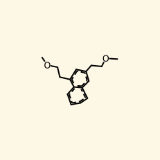 COCCc1cc(CCOC)c2ccccc2c1